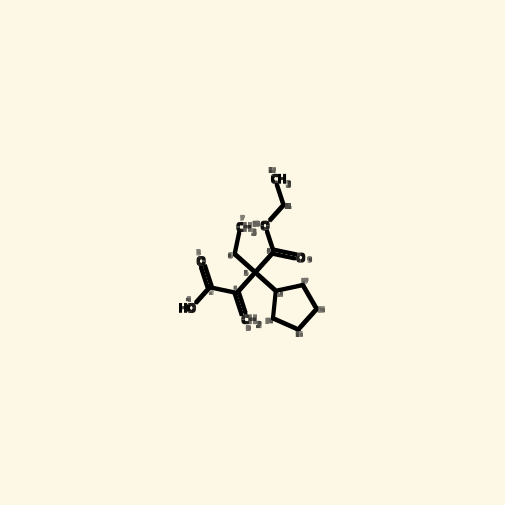 C=C(C(=O)O)C(CC)(C(=O)OCC)C1CCCC1